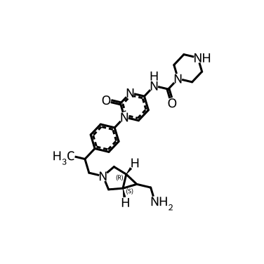 CC(CN1C[C@@H]2C(CN)[C@@H]2C1)c1ccc(-n2ccc(NC(=O)N3CCNCC3)nc2=O)cc1